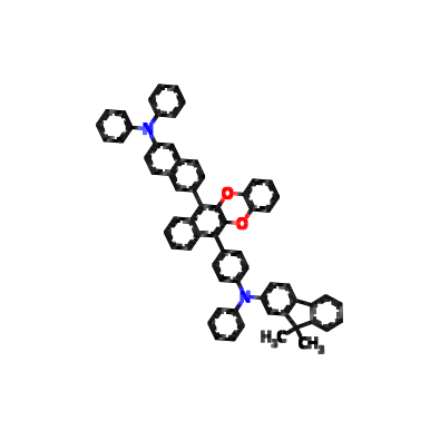 CC1(C)c2ccccc2-c2ccc(N(c3ccccc3)c3ccc(-c4c5c(c(-c6ccc7cc(N(c8ccccc8)c8ccccc8)ccc7c6)c6ccccc46)Oc4ccccc4O5)cc3)cc21